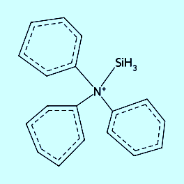 [SiH3][N+](c1ccccc1)(c1ccccc1)c1ccccc1